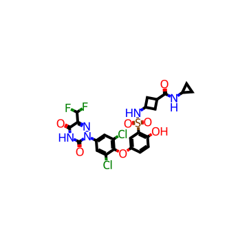 O=C(NC1CC1)C1CC(NS(=O)(=O)c2cc(Oc3c(Cl)cc(-n4nc(C(F)F)c(=O)[nH]c4=O)cc3Cl)ccc2O)C1